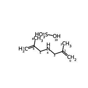 C=C(C)CNCC(=C)C.O=S(=O)(O)O